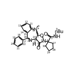 CCCCNC(=O)C1(N2OC3=[N+](C)c4ccccc4C(c4ccccc4)=N[C@@H]3C2=O)CCCC1